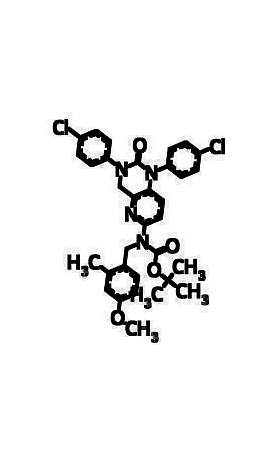 COc1ccc(CN(C(=O)OC(C)(C)C)c2ccc3c(n2)CN(c2ccc(Cl)cc2)C(=O)N3c2ccc(Cl)cc2)c(C)c1